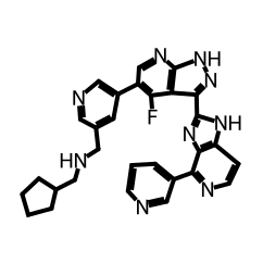 Fc1c(-c2cncc(CNCC3CCCC3)c2)cnc2[nH]nc(-c3nc4c(-c5cccnc5)nccc4[nH]3)c12